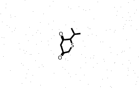 CC(C)C1SCC(=O)CC1=O